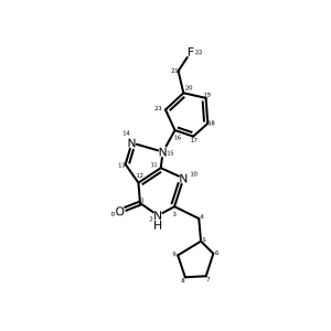 O=c1[nH]c(CC2CCCC2)nc2c1cnn2-c1cccc(CF)c1